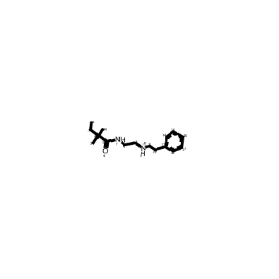 CCC(C)(C)C(=O)NCCNCCc1ccccc1